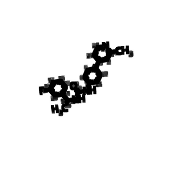 Cc1cc(-c2ccc(NC(=O)NC(C)c3cccc(F)c3)cc2)ccn1